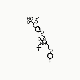 CCOC(Cc1ccc(OCCN(CCCCOc2ccc(F)cc2)C(=O)NCC(C)(C)C)cc1)C(=O)O